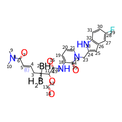 BC(B)(C/C=C/C(=O)N(C)C)C(OC=O)C(=O)Nc1cccn(Cc2cc3cc(F)ccc3[nH]2)c1=O